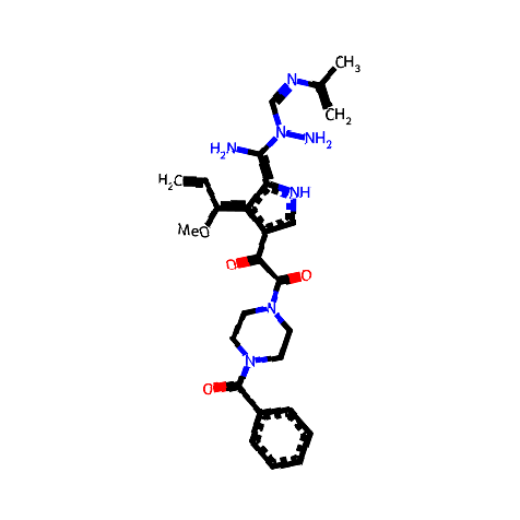 C=C/C(OC)=c1/c(C(=O)C(=O)N2CCN(C(=O)c3ccccc3)CC2)c[nH]/c1=C(/N)N(N)/C=N\C(=C)C